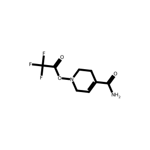 NC(=O)C1=CCN(OC(=O)C(F)(F)F)CC1